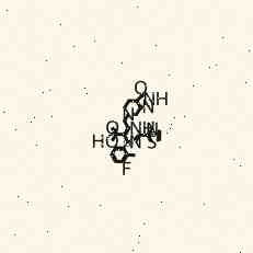 Cc1c(F)cccc1[C@@H]1N=C(c2nccs2)NC(CN2CCC3C(=O)NN=C3C2)=C1C(=O)O